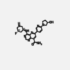 NC(=O)c1cc(-c2ccc(N3CCC(O)C3)nc2)nc2c(N[C@@H]3CNC[C@@H](F)C3)ncnc12